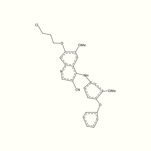 COc1cc2c(Nc3ccc(Oc4ccccc4)c(OC)c3)c(C#N)cnc2cc1OCCCCl